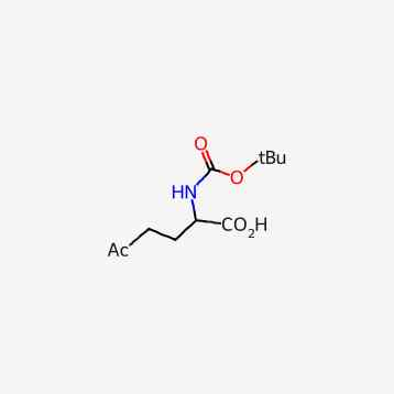 CC(=O)CCC(NC(=O)OC(C)(C)C)C(=O)O